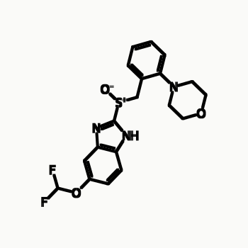 [O-][S+](Cc1ccccc1N1CCOCC1)c1nc2cc(OC(F)F)ccc2[nH]1